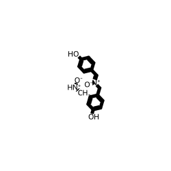 C=[NH+][O-].[O-][N+](=Cc1ccc(O)cc1)Cc1ccc(O)cc1